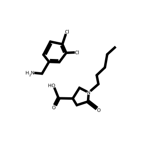 CCCCCN1CC(C(=O)O)CC1=O.NCc1ccc(Cl)c(Cl)c1